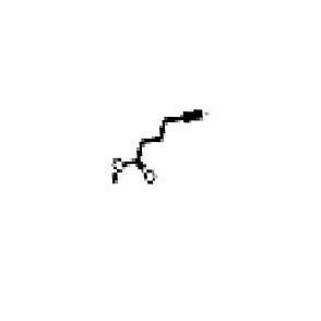 [C]#CCCCC(=O)OC